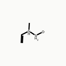 C=C[SiH](C)[SiH2][O]